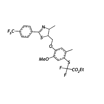 CCOC(=O)C(F)(F)Sc1cc(OC)c(OCC2SC(c3ccc(C(F)(F)F)cc3)=NC2C)cc1C